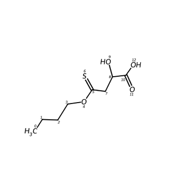 CCCCOC(=S)CC(O)C(=O)O